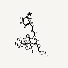 CCOC(=O)CN(CCCc1cccc(Br)n1)C(=O)OC(C)(C)C